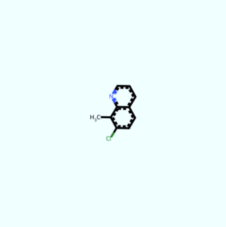 Cc1c(Cl)[c]cc2cccnc12